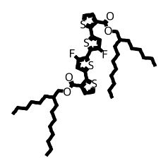 CCCCCCCCC(CCCCCC)COC(=O)c1ccsc1-c1cc(F)c(-c2sc(-c3sccc3C(=O)OCC(CCCCCC)CCCCCCCC)cc2F)s1